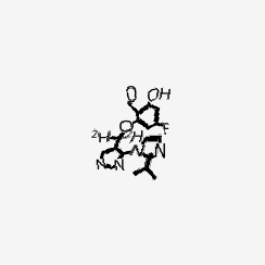 [2H]C([2H])(Oc1cc(F)cc(O)c1C=O)c1cncnc1-n1ccnc1C(C)C